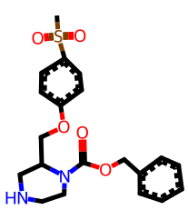 CS(=O)(=O)c1ccc(OCC2CNCCN2C(=O)OCc2ccccc2)cc1